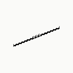 ICCCCCCCCC=CCCCOCOCOCCCC=CCCCCCCCCI